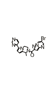 CC1c2ccc(-c3ccncn3)n2CCN1C(=O)c1cc2ncc(Br)cn2n1